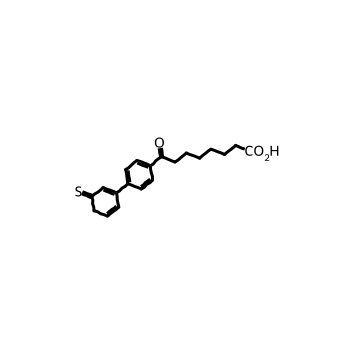 O=C(O)CCCCCCC(=O)c1ccc(C2=CC(=S)CC=C2)cc1